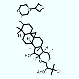 CC(=O)O[C@@H]([C@H]1C[C@@H](C)[C@H]2[C@H](O1)[C@@H](O)[C@@]1(C)[C@@H]3CC[C@H]4C(C)(C)[C@@H](O[C@H]5CN(C6COC6)CCO5)CCC45C[C@@]35CC[C@]21C)C(C)(C)O